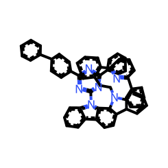 C1=CC2c3ccc4c5ccccc5n(-c5nc(-c6ccccc6)nc(-c6ccc(-c7ccccc7)cc6)n5)c4c3N(CCc3ccccc3-c3cccc(-c4ccccc4)n3)C2C=C1